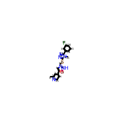 Cc1cc(C2=CN(CSc3nnc(-c4cccc(F)c4)n3C)NO2)ccn1